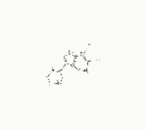 Fc1ccc2c(C3=CCCNC3)c[nH]c2c1F